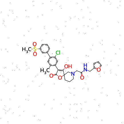 Cc1cc(-c2cccc(S(C)(=O)=O)c2)c(Cl)cc1C1=C(O)C2(CCCN(CC(=O)NCc3ccco3)C2)OC1=O